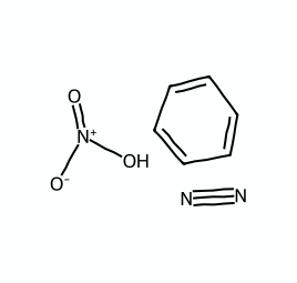 N#N.O=[N+]([O-])O.c1ccccc1